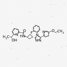 CCOc1ccc(-c2nnc([C@H]3C[C@H](NC(=O)c4cccc(C(C)O)n4)C3)n2-c2ccccc2F)nc1